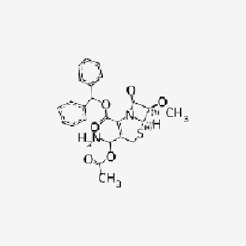 CO[C@@H]1C(=O)N2C(C(=O)OC(c3ccccc3)c3ccccc3)=C(C(N)OC(C)=O)CS[C@H]12